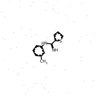 Cc1cccc(NC(=N)c2cccs2)c1